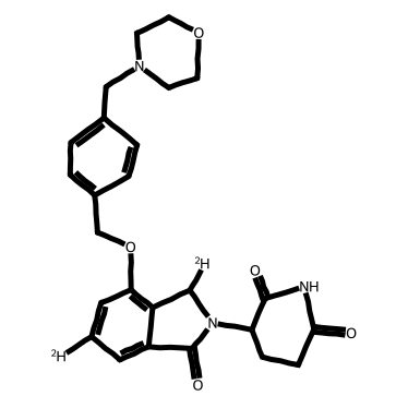 [2H]c1cc(OCc2ccc(CN3CCOCC3)cc2)c2c(c1)C(=O)N(C1CCC(=O)NC1=O)C2[2H]